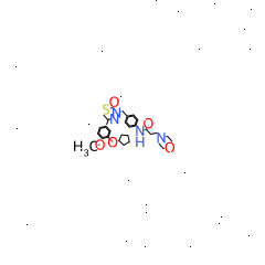 COc1ccc(C2=NN(Cc3ccc(NC(=O)CCN4CCOCC4)cc3)C(=O)SC2)cc1OC1CCCC1